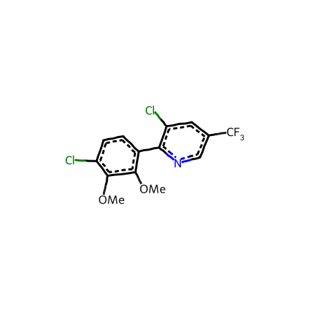 COc1c(Cl)ccc(-c2ncc(C(F)(F)F)cc2Cl)c1OC